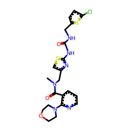 CN(Cc1csc(NC(=O)NCc2ccc(Cl)s2)n1)C(=O)c1cccnc1N1CCOCC1